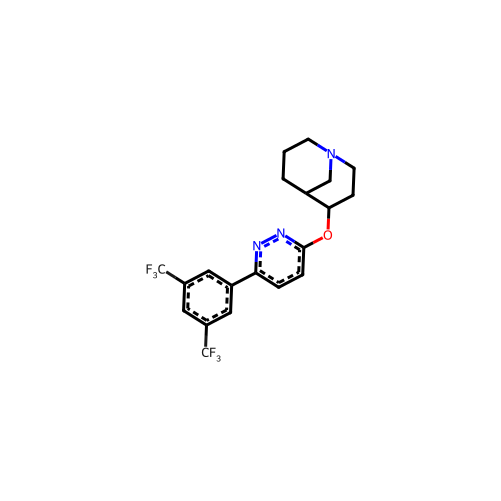 FC(F)(F)c1cc(-c2ccc(OC3CCN4CCCC3C4)nn2)cc(C(F)(F)F)c1